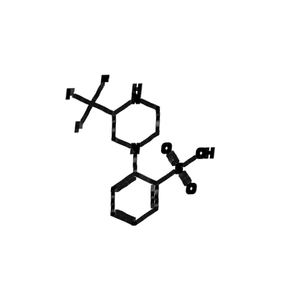 O=S(=O)(O)c1ccccc1N1CCNC(C(F)(F)F)C1